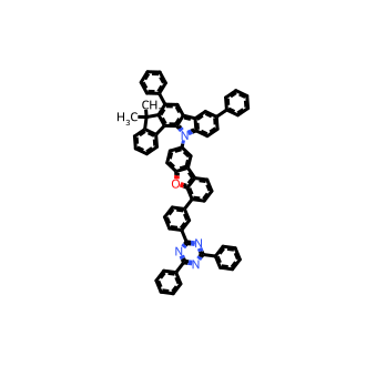 CC1(C)c2ccccc2-c2c1c(-c1ccccc1)cc1c3cc(-c4ccccc4)ccc3n(-c3ccc4oc5c(-c6cccc(-c7nc(-c8ccccc8)nc(-c8ccccc8)n7)c6)cccc5c4c3)c21